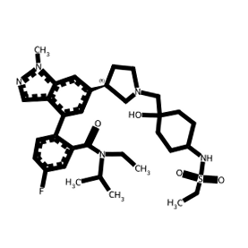 CCN(C(=O)c1cc(F)ccc1-c1cc([C@H]2CCN(CC3(O)CCC(NS(=O)(=O)CC)CC3)C2)cc2c1cnn2C)C(C)C